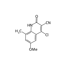 COc1cc(C)c2[nH]c(=O)c(C#N)c(Cl)c2c1